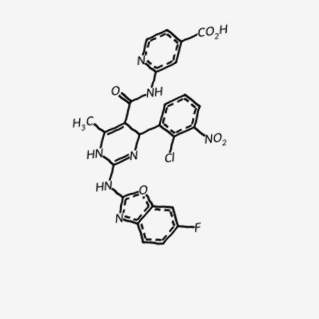 CC1=C(C(=O)Nc2cc(C(=O)O)ccn2)C(c2cccc([N+](=O)[O-])c2Cl)N=C(Nc2nc3ccc(F)cc3o2)N1